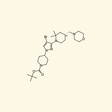 CC(C)(C)OC(=O)N1CCC(n2cc(Br)c(N3CC[C@@H](CN4CCOCC4)CC3(C)C)n2)CC1